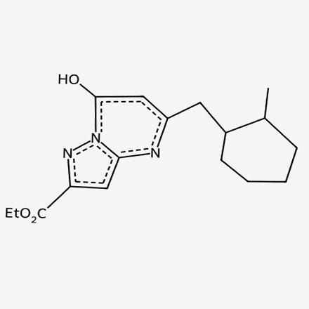 CCOC(=O)c1cc2nc(CC3CCCCC3C)cc(O)n2n1